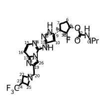 CC(C)NC(=O)O[C@H]1CC[C@@H](c2cc(Nc3nccc4nc(CN5CC(C(F)(F)F)C5)cn34)n[nH]2)[C@H]1F